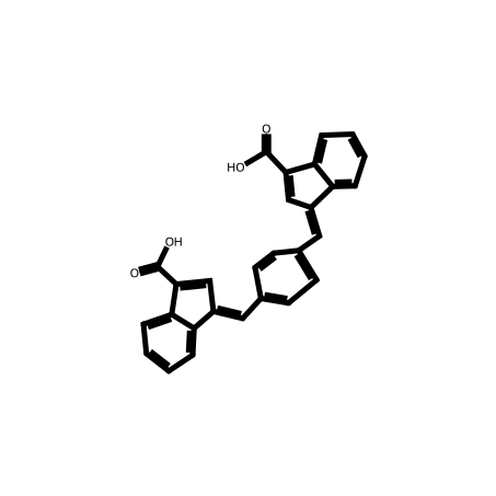 O=C(O)C1=CC(=Cc2ccc(C=C3C=C(C(=O)O)c4ccccc43)cc2)c2ccccc21